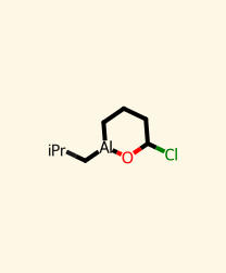 CC(C)[CH2][Al]1[CH2]CCC(Cl)[O]1